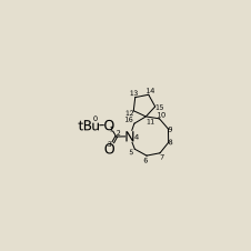 CC(C)(C)OC(=O)N1CCCCCCC2(CCCC2)C1